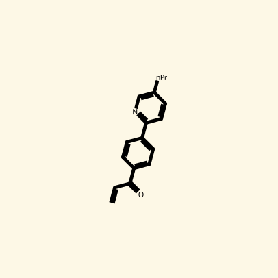 C=CC(=O)c1ccc(-c2ccc(CCC)cn2)cc1